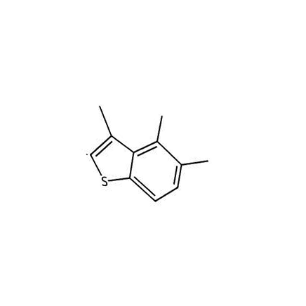 Cc1ccc2s[c]c(C)c2c1C